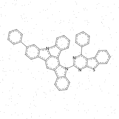 c1ccc(-c2ccc3c4cc5c6ccccc6n(-c6nc(-c7ccccc7)c7c(n6)sc6ccccc67)c5c5c6ccccc6n(c3c2)c45)cc1